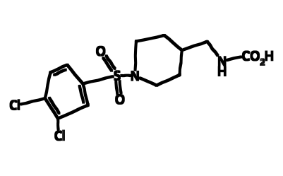 O=C(O)NCC1CCN(S(=O)(=O)c2ccc(Cl)c(Cl)c2)CC1